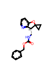 O=C(NC[C@@H]1c2ncccc2OC12CC2)OCc1ccccc1